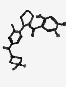 Cc1cc(C(=O)N2CC(F)(F)C2)ccc1C1CCCN1C(=O)c1cc(Cl)c(O)cc1O